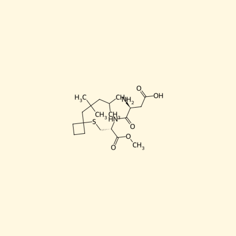 COC(=O)[C@H](CSC1(CC(C)(C)CC(C)C)CCC1)NC(=O)[C@@H](N)CC(=O)O